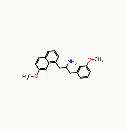 COc1cccc(CC(N)Cc2cccc3ccc(OC)cc23)c1